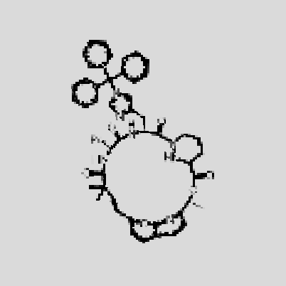 CC(C)[C@@H]1NC(=O)C(C)(C)/C=C/c2ccc3ccc(nc3c2)[C@@H](C)OC(=O)C2CCCN(N2)C(=O)[C@H](Cc2cn(C(c3ccccc3)(c3ccccc3)c3ccccc3)cn2)NC1=O